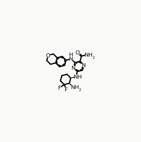 NC(=O)c1ncc(N[C@@H]2CCCC(F)(F)[C@@H]2N)nc1Nc1ccc2c(c1)COCC2